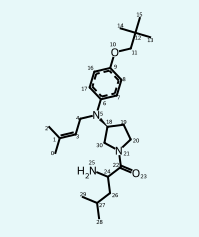 CC(C)=CCN(c1ccc(OCC(C)(C)C)cc1)[C@H]1CCN(C(=O)C(N)CC(C)C)C1